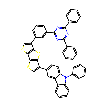 c1ccc(-c2nc(-c3ccccc3)nc(-c3cccc(-c4csc5c4sc4c(-c6ccc7c(c6)c6ccccc6n7-c6ccccc6)csc45)c3)n2)cc1